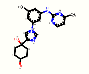 Cc1cc(Nc2nccc(C)n2)cc(-n2cnc(C3(O)CCC(O)CC3)c2)c1